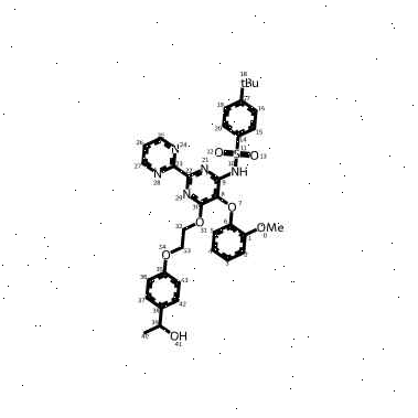 COc1ccccc1Oc1c(NS(=O)(=O)c2ccc(C(C)(C)C)cc2)nc(-c2ncccn2)nc1OCCOc1ccc(C(C)O)cc1